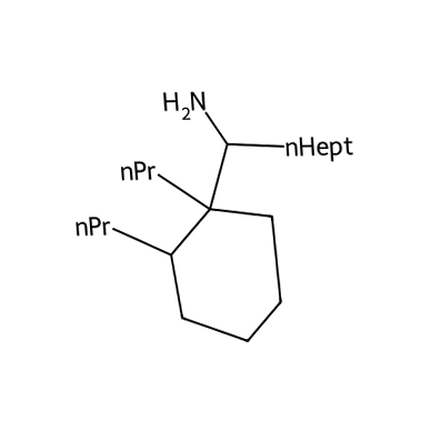 CCCCCCCC(N)C1(CCC)CCCCC1CCC